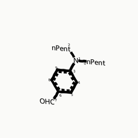 CCCCCN(CCCCC)c1ccc(C=O)cc1